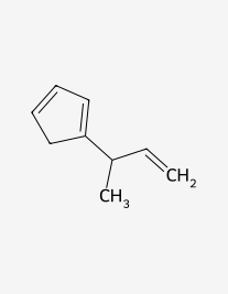 C=CC(C)C1=CC=CC1